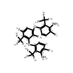 Nc1c(F)ccc(Oc2cc(F)c(C(F)(F)F)c(Oc3ccc(F)c(N)c3C(F)(F)F)c2F)c1C(F)(F)F